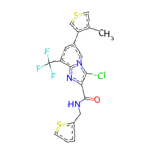 Cc1cscc1-c1cc(C(F)(F)F)c2nc(C(=O)NCc3cccs3)c(Cl)n2c1